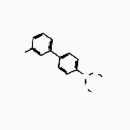 CCO[SiH](OCC)c1ccc(-c2cccc(F)c2)cc1